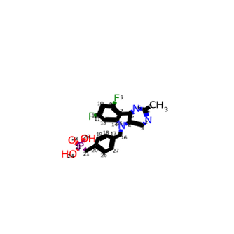 Cc1ncc2c(n1)c1c(F)cc(F)cc1n2Cc1ccc(CP(=O)(O)O)cc1